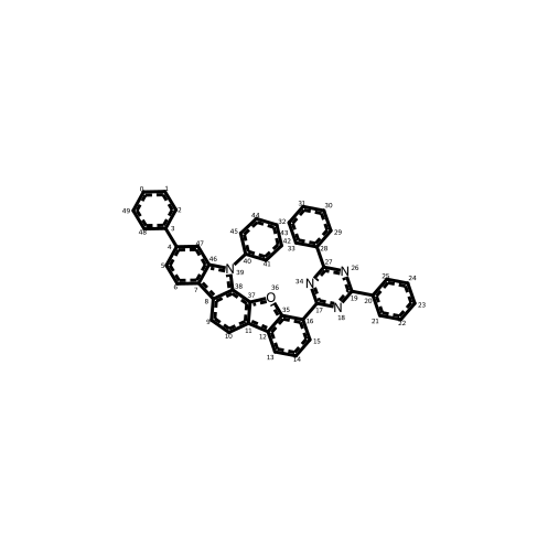 c1ccc(-c2ccc3c4ccc5c6cccc(-c7nc(-c8ccccc8)nc(-c8ccccc8)n7)c6oc5c4n(-c4ccccc4)c3c2)cc1